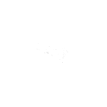 NS(=O)(=O)c1cc2c(cc1C(F)(F)F)NC(c1ccccc1)N2